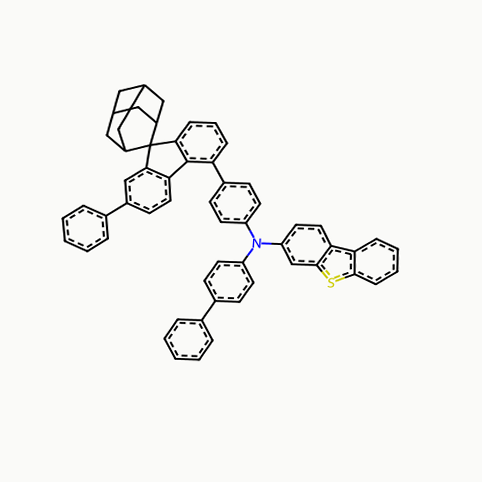 c1ccc(-c2ccc(N(c3ccc(-c4cccc5c4-c4ccc(-c6ccccc6)cc4C54C5CC6CC(C5)CC4C6)cc3)c3ccc4c(c3)sc3ccccc34)cc2)cc1